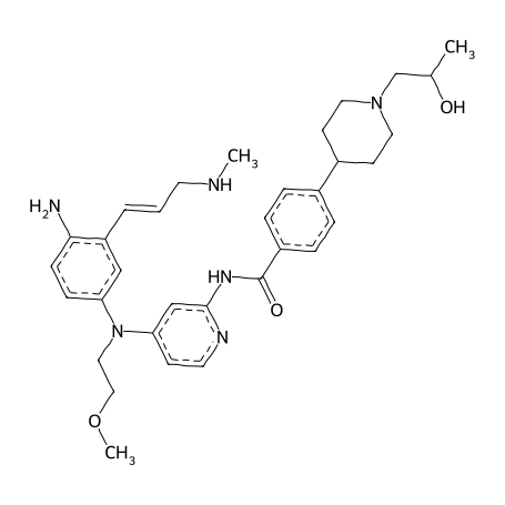 CNCC=Cc1cc(N(CCOC)c2ccnc(NC(=O)c3ccc(C4CCN(CC(C)O)CC4)cc3)c2)ccc1N